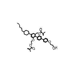 C=C(C)C(=O)OCCOc1cc(C2CCC(CCCCC)CC2)cc(COC(=O)C(=C)C)c1-c1ccc(-c2ccc(OCCO)cc2)cc1